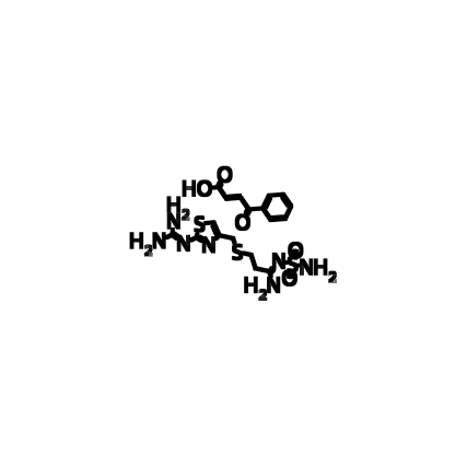 NC(N)=Nc1nc(CSCCC(N)=NS(N)(=O)=O)cs1.O=C(O)C=CC(=O)c1ccccc1